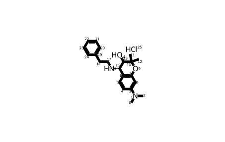 CN(C)c1ccc2c(c1)OC(C)(C)C(O)[C@H]2NCCc1ccccc1.Cl